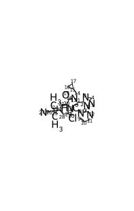 CC(c1ncnn1-c1ncccn1)N(CC1CC1)C(=O)c1cc(C(C)(C)C#N)cc(Cl)n1